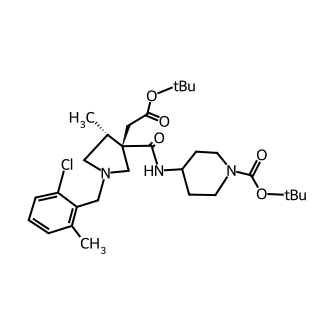 Cc1cccc(Cl)c1CN1C[C@H](C)[C@](CC(=O)OC(C)(C)C)(C(=O)NC2CCN(C(=O)OC(C)(C)C)CC2)C1